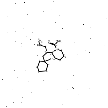 CNC[C@H](CC1(F)CCCCC1)C1CCCCN1C(N)=O